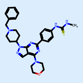 CNC(=S)Nc1ccc(-c2nc(N3CCOCC3)c3cnn(C4CCN(Cc5ccccc5)CC4)c3n2)cc1